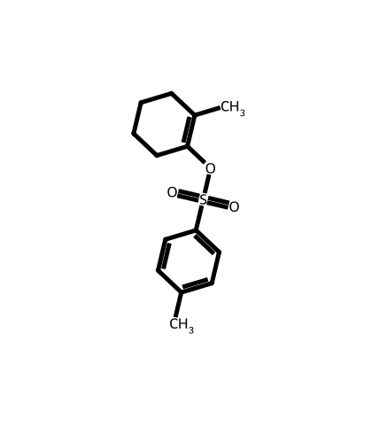 CC1=C(OS(=O)(=O)c2ccc(C)cc2)CCCC1